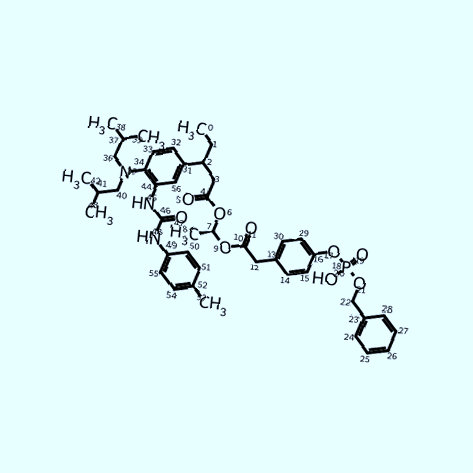 CCC(CC(=O)O[C@H](C)OC(=O)Cc1ccc(OP(=O)(O)OCc2ccccc2)cc1)c1ccc(N(CC(C)C)CC(C)C)c(NC(=O)Nc2ccc(C)cc2)c1